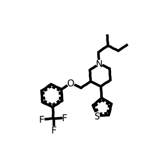 CCC(C)CN1CCC(c2ccsc2)C(COc2cccc(C(F)(F)F)c2)C1